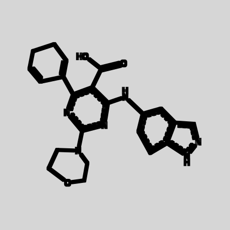 O=C(O)c1c(Nc2ccc3[nH]ncc3c2)nc(N2CCOCC2)nc1C1=CCCC=C1